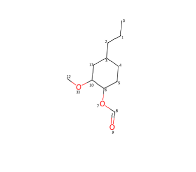 CCCC1CCC(OC=O)C(OC)C1